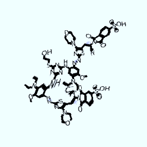 [C-]#[N+]/C(=C\c1sc(/N=N/c2cc(OC)c(N(CC)CC)cc2Nc2nc(Nc3cc(N(CC)CC)c(OC)cc3/N=N/c3nc(N4CCOCC4)c(/C=C(\C#N)N4C(=O)c5ccc(S(=O)(=O)O)cc5C4=O)s3)nc(SCCO)n2)nc1N1CCOCC1)N1C(=O)c2ccc(S(=O)(=O)O)cc2C1=O